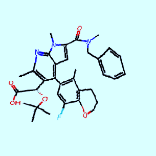 Cc1nc2c(cc(C(=O)N(C)Cc3ccccc3)n2C)c(-c2cc(F)c3c(c2C)CCCO3)c1[C@H](OC(C)(C)C)C(=O)O